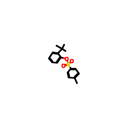 Cc1ccc(S(=O)(=O)Oc2ccccc2C(C)(C)C)cc1